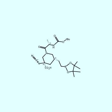 C[C@H](NC(=O)OC(C)(C)C)C(=O)N1C[C@H](CCB2OC(C)(C)C(C)(C)O2)C[C@](N=[N+]=[N-])(C(=O)O)C1